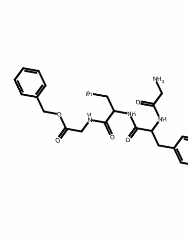 CC(C)CC(NC(=O)C(Cc1ccccc1)NC(=O)CN)C(=O)NCC(=O)OCc1ccccc1